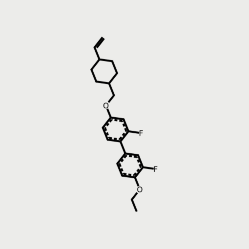 C=CC1CCC(COc2ccc(-c3ccc(OCC)c(F)c3)c(F)c2)CC1